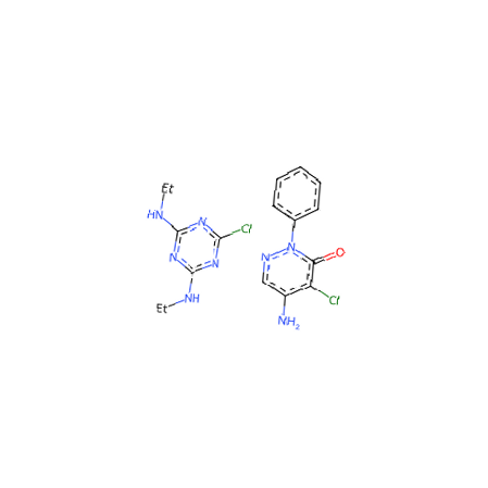 CCNc1nc(Cl)nc(NCC)n1.Nc1cnn(-c2ccccc2)c(=O)c1Cl